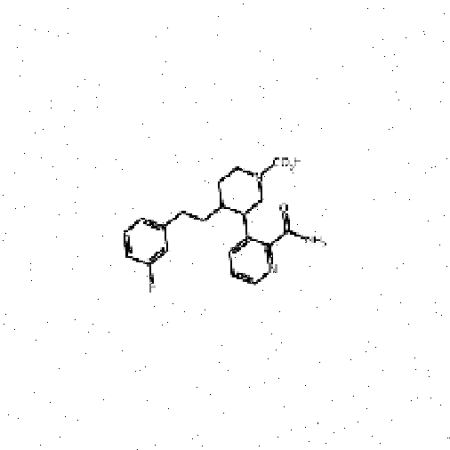 NC(=O)c1ncccc1C1CN(C(=O)O)CCC1CCc1cccc(F)c1